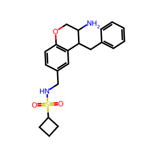 NC1COc2ccc(CNS(=O)(=O)C3CCC3)cc2C1Cc1ccccc1